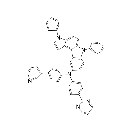 c1ccc(-n2ccc3c4c5cc(N(c6ccc(-c7cccnc7)cc6)c6ccc(-c7ncccn7)cc6)ccc5n(-c5ccccc5)c4ccc32)cc1